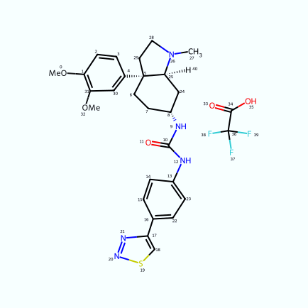 COc1ccc([C@@]23CC[C@@H](NC(=O)Nc4ccc(-c5csnn5)cc4)C[C@@H]2N(C)CC3)cc1OC.O=C(O)C(F)(F)F